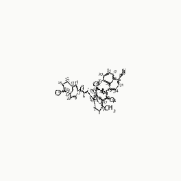 CC12CCC(CCOc3ccc4c(c3)CCC4=O)(O1)C1C(=O)N(c3ccc(C#N)c4ccccc34)C(=O)C12